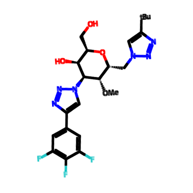 CO[C@@H]1[C@@H](n2cc(-c3cc(F)c(F)c(F)c3)nn2)[C@@H](O)[C@@H](CO)O[C@@H]1Cn1cc(C(C)(C)C)nn1